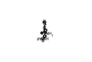 CC(C)OC(=O)Nc1ccc(-c2c(N)c3ccc(OCCCn4ccnc4)cc3n2C2CCC2)cc1